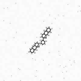 c1cc(-c2ccc3cc4ccccc4cc3n2)cc(-c2ccc3cc4ccccc4cc3n2)c1